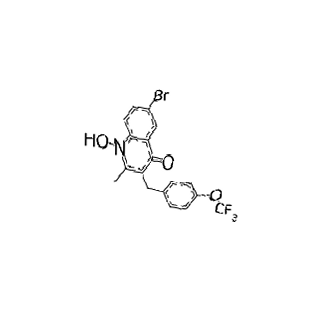 Cc1c(Cc2ccc(OC(F)(F)F)cc2)c(=O)c2cc(Br)ccc2n1O